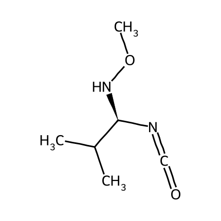 CON[C@@H](N=C=O)C(C)C